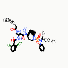 CCCCCCCCCCCC(=O)n1cc(NC(=O)c2c(Cl)cccc2Cl)c(C(=O)NC2CCN(P(=O)(N[C@@H](C)C(=O)O)Oc3ccccc3)CC2)n1